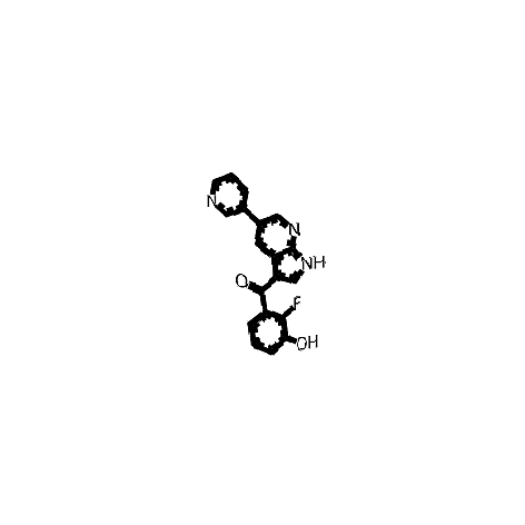 O=C(c1cccc(O)c1F)c1c[nH]c2ncc(-c3cccnc3)cc12